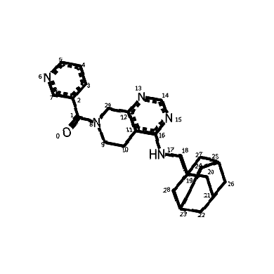 O=C(c1cccnc1)N1CCc2c(ncnc2NCC23CC4CC(CC(C4)C2)C3)C1